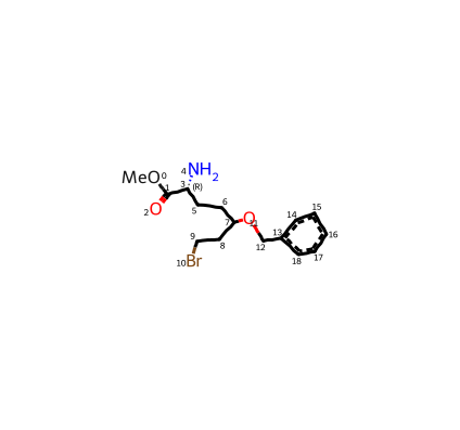 COC(=O)[C@H](N)CCC(CCBr)OCc1ccccc1